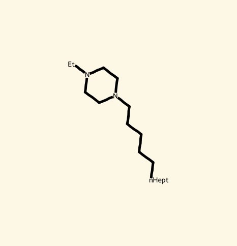 [CH2]CCCCCCCCCCCN1CCN(CC)CC1